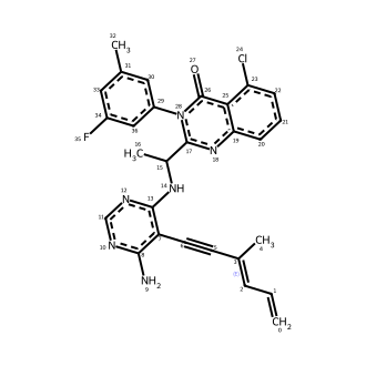 C=C/C=C(\C)C#Cc1c(N)ncnc1NC(C)c1nc2cccc(Cl)c2c(=O)n1-c1cc(C)cc(F)c1